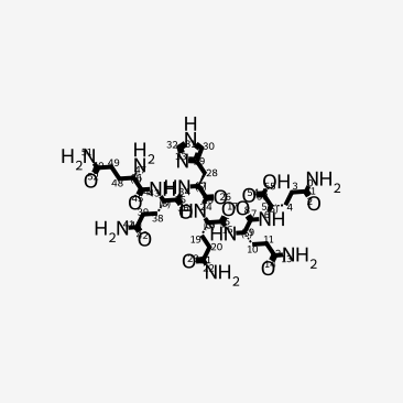 NC(=O)CC[C@H](NC(=O)[C@H](CCC(N)=O)NC(=O)[C@H](CCC(N)=O)NC(=O)[C@H](Cc1c[nH]cn1)NC(=O)[C@H](CCC(N)=O)NC(=O)[C@@H](N)CCC(N)=O)C(=O)O